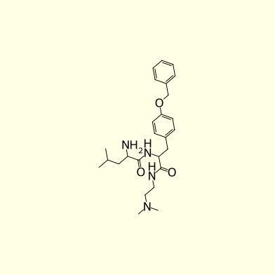 CC(C)CC(N)C(=O)NC(Cc1ccc(OCc2ccccc2)cc1)C(=O)NCCN(C)C